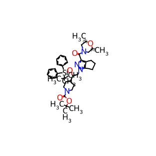 C[C@@H]1CN(C(=O)c2nn(CC(O[Si](c3ccccc3)(c3ccccc3)C(C)(C)C)C3CCN(C(=O)OC(C)(C)C)CC3)c3c2CCC3)C[C@H](C)O1